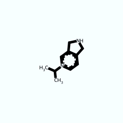 CC(C)[n+]1ccc2c(c1)CNC2